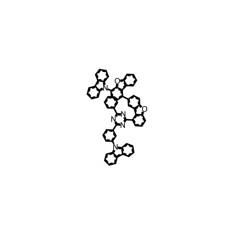 c1ccc(-c2nc(-c3cccc(-n4c5ccccc5c5ccccc54)c3)nc(-c3cccc4oc5ccc(-c6ccc(-n7c8ccccc8c8ccccc87)c7oc8ccccc8c67)cc5c34)n2)cc1